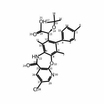 Cc1ccc(-c2c(C)c3c(c(C)c2[C@H](OC(C)(C)C)C(=O)O)NC(=O)c2cc(Cl)cnc2O3)cc1